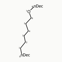 CCCCCCCCCCCCCCCCOCCCCCCCCCC